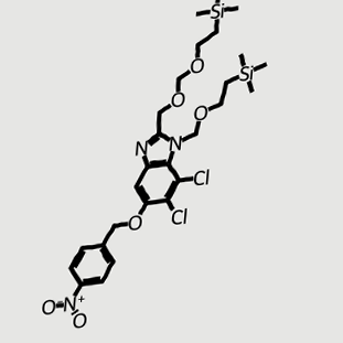 C[Si](C)(C)CCOCOCc1nc2cc(OCc3ccc([N+](=O)[O-])cc3)c(Cl)c(Cl)c2n1COCC[Si](C)(C)C